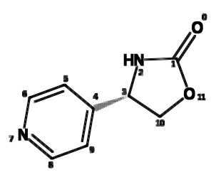 O=C1N[C@@H](c2ccncc2)CO1